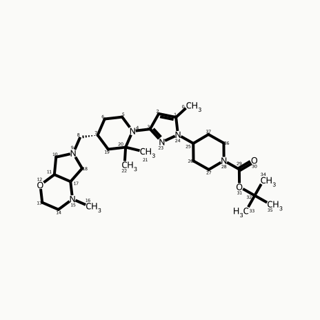 Cc1cc(N2CC[C@@H](CN3CC4OCCN(C)C4C3)CC2(C)C)nn1C1CCN(C(=O)OC(C)(C)C)CC1